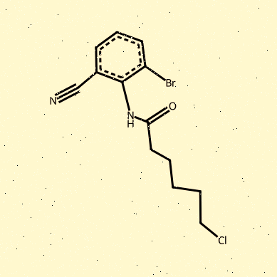 N#Cc1cccc(Br)c1NC(=O)CCCCCCl